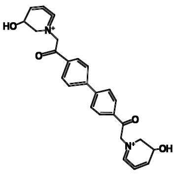 O=C(C[N+]1=C=C=CC(O)C1)c1ccc(-c2ccc(C(=O)C[N+]3=C=C=CC(O)C3)cc2)cc1